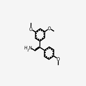 COc1ccc(C(=CN)c2cc(OC)cc(OC)c2)cc1